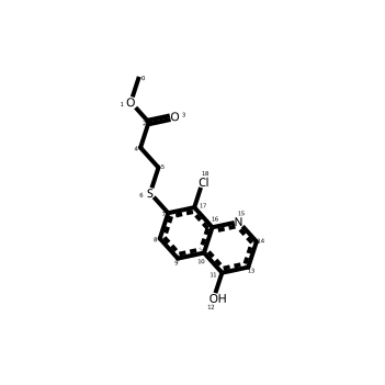 COC(=O)CCSc1ccc2c(O)ccnc2c1Cl